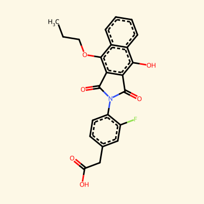 CCCOc1c2c(c(O)c3ccccc13)C(=O)N(c1ccc(CC(=O)O)cc1F)C2=O